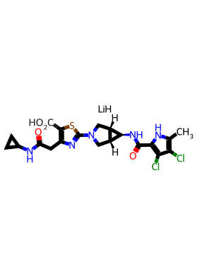 Cc1[nH]c(C(=O)N[C@H]2[C@@H]3CN(c4nc(CC(=O)NC5CC5)c(C(=O)O)s4)C[C@@H]32)c(Cl)c1Cl.[LiH]